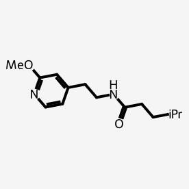 COc1cc(CCNC(=O)CCC(C)C)ccn1